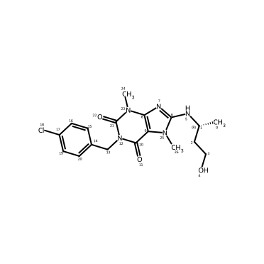 C[C@H](CCO)Nc1nc2c(c(=O)n(Cc3ccc(Cl)cc3)c(=O)n2C)n1C